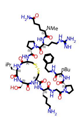 CCCC[C@@H](NC(=O)[C@@H]1CCCN1C(=O)CNC(=O)[C@H](CCCCN)NC(=O)[C@@H]1CSSC[C@H](NC(=O)[C@@H]2CCCN2C(=O)[C@H](CCCNC(=N)N)NC(=O)[C@H](CCCC(N)=O)NC)C(=O)N[C@@H](CC(C)C)C(=O)N[C@@H](CO)C(=O)N1)C(=O)NCCc1ccccc1